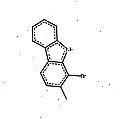 Cc1ccc2c([nH]c3ccccc32)c1Br